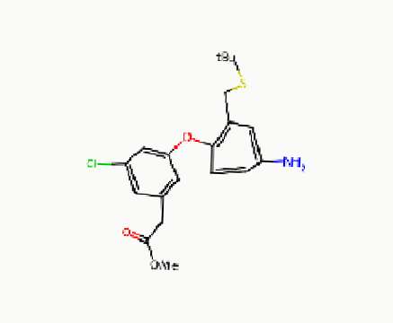 COC(=O)Cc1cc(Cl)cc(Oc2ccc(N)cc2CSC(C)(C)C)c1